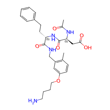 CC(=O)N[C@@H](CC(=O)O)C(=O)N[C@@H](CCc1ccccc1)C(=O)NCc1cc(OCCCCN)ccc1C